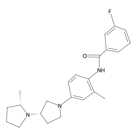 Cc1cc(N2CC[C@H](N3CCC[C@@H]3C)C2)ccc1NC(=O)c1cccc(F)c1